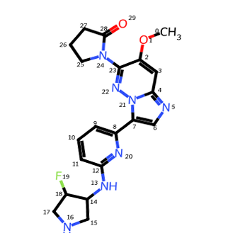 COc1cc2ncc(-c3cccc(NC4CNCC4F)n3)n2nc1N1CCCC1=O